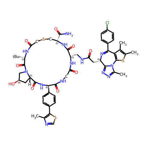 Cc1ncsc1-c1ccc([C@H]2NC(=O)[C@@H]3C[C@@H](O)CN3C(=O)[C@H](C(C)(C)C)NC(=O)CSC[C@H](C(N)=O)NC(=O)[C@H](CNC(=O)C[C@@H]3N=C(c4ccc(Cl)cc4)c4c(sc(C)c4C)-n4c(C)nnc43)NC(=O)CNC2=O)cc1